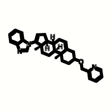 C[C@]12CCC(OCc3ccccn3)CC1=CC[C@@H]1[C@@H]2CC[C@]2(C)C(n3cnc4ccccc43)=CC[C@@H]12